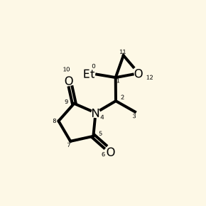 CCC1(C(C)N2C(=O)CCC2=O)CO1